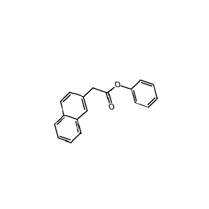 O=C(Cc1ccc2ccccc2c1)Oc1ccccc1